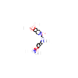 COc1cc2c(cc1OC)CCN(C(=O)CCN(C)CC1Cc3cc(OC(=O)N(C)C)ccc31)CC2